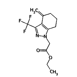 C=C1CCCc2c1c(C(F)(F)F)nn2CC(=O)OCC